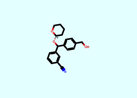 N#Cc1cccc(C(O[C@H]2CCCCO2)c2ccc(CO)cc2)c1